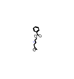 O=C(OC/C=C/CC1CO1)c1ccccc1